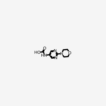 O=C(O)Nc1cnc(N2CCOCC2)nc1